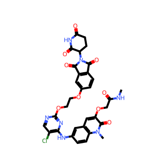 CNC(=O)COc1cc2cc(Nc3nc(OCCOc4ccc5c(c4)C(=O)N(C4CCC(=O)NC4=O)C5=O)ncc3Cl)ccc2n(C)c1=O